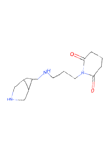 O=C1CCCC(=O)N1CCCNC1C2CNCC21